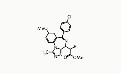 CCC(C(=O)OC)C1N=C(c2ccc(Cl)cc2)c2cc(OC)ccc2-n2c(C)nnc21